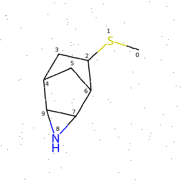 CSC1CC2CC1C1NC21